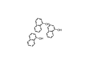 Oc1cccc2ccccc12.Oc1cccc2ccccc12.Oc1cccc2ccccc12